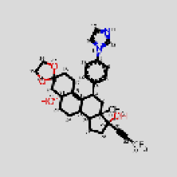 C[C@]12C[C@H](c3ccc(-n4ccnc4)cc3)C3=C4CCC5(C[C@]4(O)CCC3C1CC[C@@]2(O)C#CC(F)(F)F)OCCO5